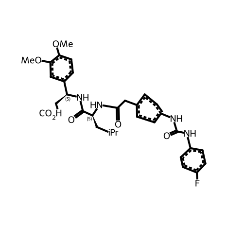 COc1ccc([C@H](CC(=O)O)NC(=O)[C@H](CC(C)C)NC(=O)Cc2ccc(NC(=O)Nc3ccc(F)cc3)cc2)cc1OC